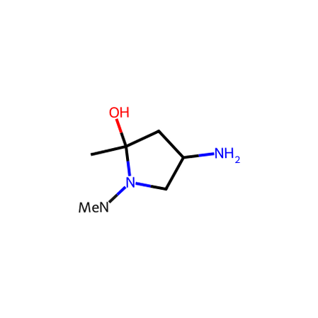 CNN1CC(N)CC1(C)O